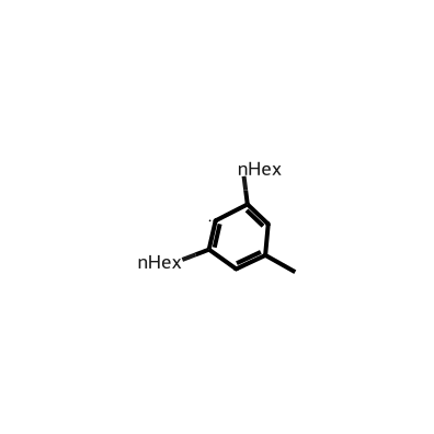 CCCCCCc1[c]c(CCCCCC)cc(C)c1